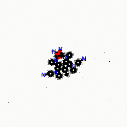 CC(C)(C)c1cc2c3c(c1)-c1c4c(cc5c(c4cc4c1c1ccccc1n4-c1ccc(C#N)cc1)c1ccccc1n5-c1ccc(C#N)cc1)B3c1cc3c(c4cc5c(c-2c14)c1ccccc1n5-c1ccc(C#N)cc1)c1ccccc1n3-c1ccc(C#N)cc1